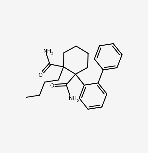 CCCCC1(C(N)=O)CCCCC1(C(N)=O)c1ccccc1-c1ccccc1